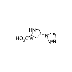 O=C(O)[C@@H]1CC(n2ccnn2)CN1